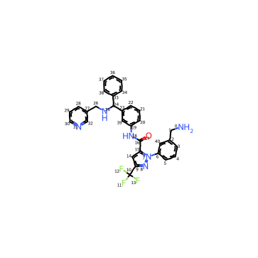 NCc1cccc(-n2nc(C(F)(F)F)cc2C(=O)Nc2cccc(C(NCc3cccnc3)c3ccccc3)c2)c1